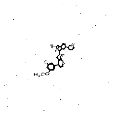 COc1cc(F)cc(-c2ccnc3[nH]c(-c4n[nH]c5ccc(-c6cccnc6)cc45)cc23)c1